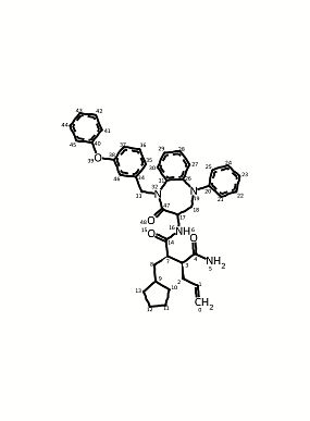 C=CC[C@H](C(N)=O)[C@@H](CC1CCCC1)C(=O)NC1CN(c2ccccc2)c2ccccc2N(Cc2cccc(Oc3ccccc3)c2)C1=O